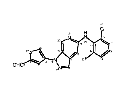 O=Cc1cc(-n2ncc3cc(Nc4c(F)cccc4Cl)ncc32)cs1